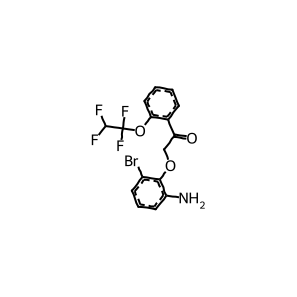 Nc1cccc(Br)c1OCC(=O)c1ccccc1OC(F)(F)C(F)F